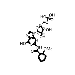 COc1ccccc1C(=O)Nc1nc(O)c2ncn([C@@H]3O[C@H](COP(=O)(O)O)[C@H](O)[C@H]3O)c2n1